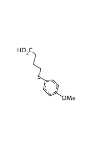 COc1ccc(SCCCC(=O)O)cc1